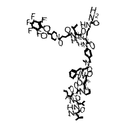 C=C(C)[C@@H](C(=O)N[C@H](C(=O)N(C)[C@@H]([C@@H](C)CC)[C@@H](CC(=O)N1CCC[C@H]1[C@H](OC)[C@@H](C)C(=O)N[C@@H](Cc1ccccc1)C(=O)N(C)Cc1ccc(NC(=O)[C@H](CCCNC(N)=O)NC(=O)[C@@H](NC(=O)CCC(=O)N2CCC(C(=O)Oc3c(F)c(F)c(F)c(F)c3F)CC2)C(C)C)cc1)OC)C(C)C)N(C)C